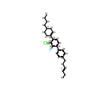 CC/C=C/CCc1ccc(-c2ccc(C3=CCC(CCCC)CC3)c(Cl)c2F)cc1